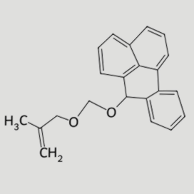 C=C(C)COCOC1c2ccccc2-c2cccc3cccc1c23